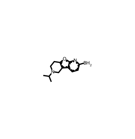 Bc1ccc2c3c(oc2n1)CCN(C(C)C)C3